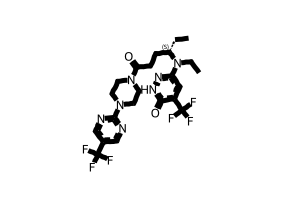 CC[C@@H](CCC(=O)N1CCN(c2ncc(C(F)(F)F)cn2)CC1)N(CC)c1cc(C(F)(F)F)c(=O)[nH]n1